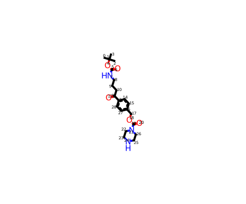 CC(C)(C)OC(=O)NCCCC(=O)c1ccc(COC(=O)N2CCNCC2)cc1